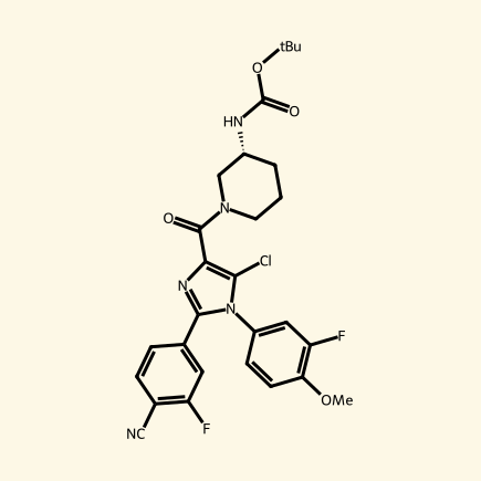 COc1ccc(-n2c(-c3ccc(C#N)c(F)c3)nc(C(=O)N3CCC[C@@H](NC(=O)OC(C)(C)C)C3)c2Cl)cc1F